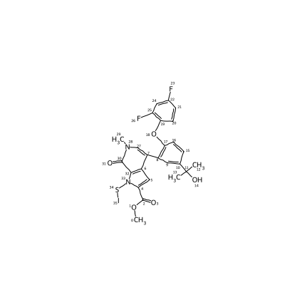 COC(=O)c1cc2c(-c3cc(C(C)(C)O)ccc3Oc3ccc(F)cc3F)cn(C)c(=O)c2n1SI